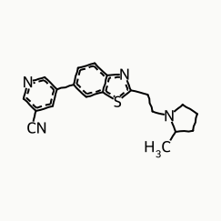 CC1CCCN1CCc1nc2ccc(-c3cncc(C#N)c3)cc2s1